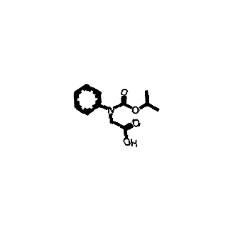 CC(C)OC(=O)N(CC(=O)O)c1ccccc1